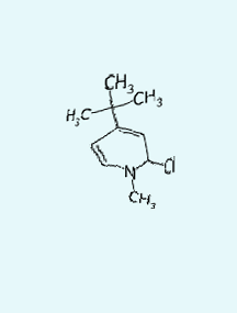 CN1C=CC(C(C)(C)C)=CC1Cl